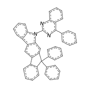 c1ccc(-c2nc(-n3c4ccccc4c4cc5c(cc43)C(c3ccccc3)(c3ccccc3)c3ccccc3-5)nc3ccccc23)cc1